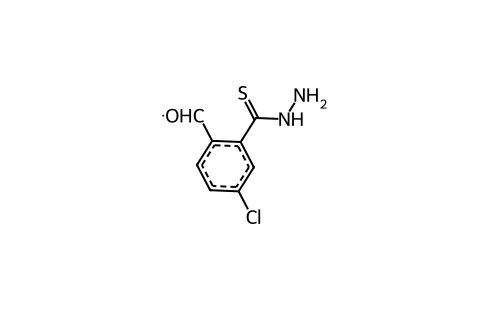 NNC(=S)c1cc(Cl)ccc1[C]=O